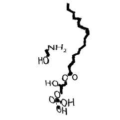 CCCCCC/C=C\CCCCCCCC(=O)OCC(O)COP(=O)(O)O.NCCO